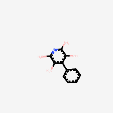 Bc1nc(B)c(B)c(-c2ccccc2)c1B